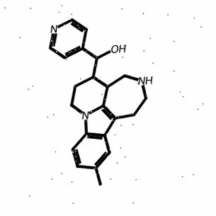 Cc1ccc2c(c1)c1c3n2CCC(C(O)c2ccncc2)C3CNCC1